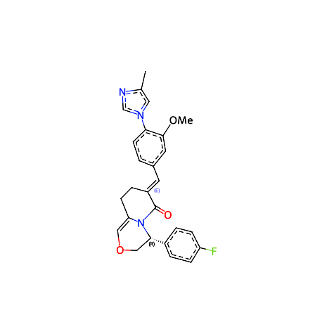 COc1cc(/C=C2\CCC3=COC[C@@H](c4ccc(F)cc4)N3C2=O)ccc1-n1cnc(C)c1